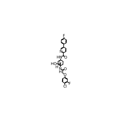 O=C(COc1ccc(Cl)c(F)c1)NC12CCC(NC(=O)c3ccc(-c4ccc(F)cc4)cn3)(CC1)C[C@@H]2O